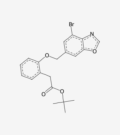 CC(C)(C)OC(=O)Cc1ccccc1OCc1cc(Br)c2ncoc2c1